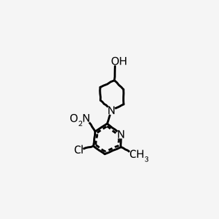 Cc1cc(Cl)c([N+](=O)[O-])c(N2CCC(O)CC2)n1